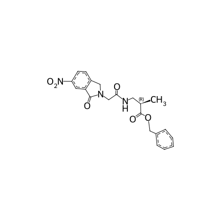 C[C@H](CNC(=O)CN1Cc2ccc([N+](=O)[O-])cc2C1=O)C(=O)OCc1ccccc1